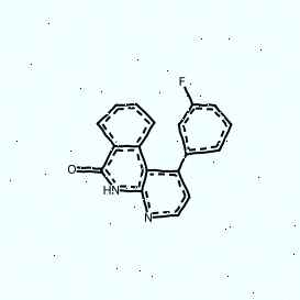 O=c1[nH]c2nccc(-c3cccc(F)c3)c2c2ccccc12